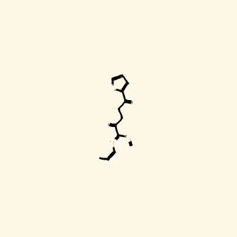 C=N/C(=N\C=C/C)C(=O)CCC(=O)c1cccs1